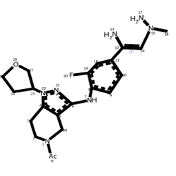 CC(=O)N1CCc2c(c(Nc3ccc(/C(N)=C/N(C)N)cc3F)nn2C2CCOC2)C1